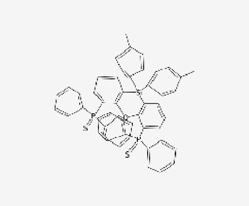 Cc1ccc([Si]2(c3ccc(C)cc3)c3cccc(P(=S)(c4ccccc4)c4ccccc4)c3Oc3c2cccc3P(=S)(c2ccccc2)c2ccccc2)cc1